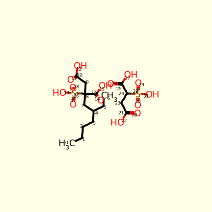 CCCCC(CC)CC(CC(=O)O)(C(=O)O)S(=O)(=O)O.O=C(O)CC(C(=O)O)S(=O)(=O)O